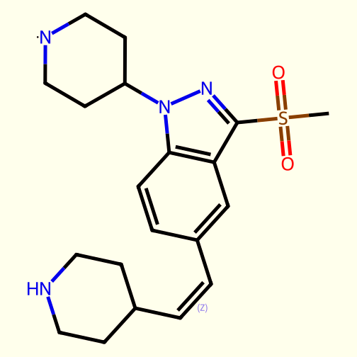 CS(=O)(=O)c1nn(C2CC[N]CC2)c2ccc(/C=C\C3CCNCC3)cc12